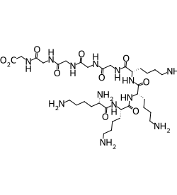 NCCCC[C@H](NC(=O)[C@H](CCCCN)NC(=O)[C@H](CCCCN)NC(=O)[C@@H](N)CCCCN)C(=O)NCC(=O)NCC(=O)NCC(=O)NCC(=O)NCC(=O)O